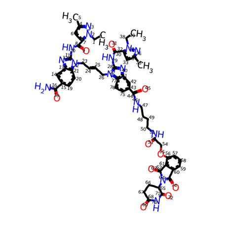 CCn1nc(C)cc1C(=O)Nc1nc2cc(C(N)=O)ccc2n1C/C=C/Cn1c(NC(=O)c2cc(C)nn2CC)nc2cc(C(=O)NCCCCNC(=O)COc3cccc4c3C(=O)N(C3CCC(=O)NC3=O)C4=O)ccc21